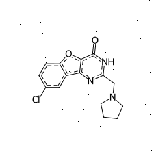 O=c1[nH]c(CN2CCCC2)nc2c1oc1ccc(Cl)cc12